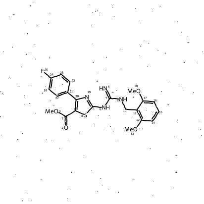 COC(=O)c1sc(NC(=N)NCc2c(OC)cccc2OC)nc1-c1ccc(F)cc1